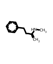 C=C(CCc1ccccc1)NC